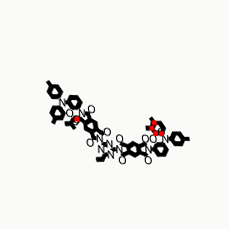 C=Cc1nc(-n2c(=O)c3cc4c(=O)n(-c5cccc(N(c6ccc(C)cc6)c6ccc(C)cc6)c5OC(=O)C(=C)C)c(=O)c4cc3c2=O)nc(-n2c(=O)c3cc4c(=O)n(-c5cccc(N(c6ccc(C)cc6)c6ccc(C)cc6)c5OC(=O)C(=C)C)c(=O)c4cc3c2=O)n1